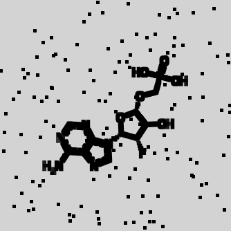 Nc1ncnc2c1ncn2[C@@H]1O[C@H](OCP(=O)(O)O)C(O)[C@@H]1F